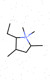 CCC1C(C)CC(C)[N+]1(C)C